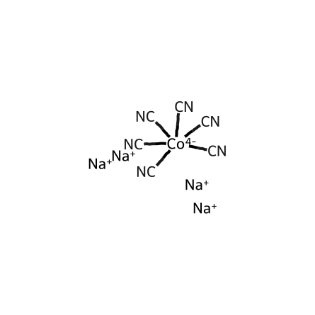 N#[C][Co-4]([C]#N)([C]#N)([C]#N)([C]#N)[C]#N.[Na+].[Na+].[Na+].[Na+]